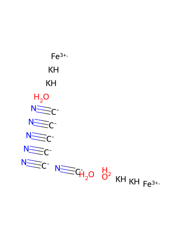 O.O.O.[C-]#N.[C-]#N.[C-]#N.[C-]#N.[C-]#N.[C-]#N.[Fe+3].[Fe+3].[KH].[KH].[KH].[KH]